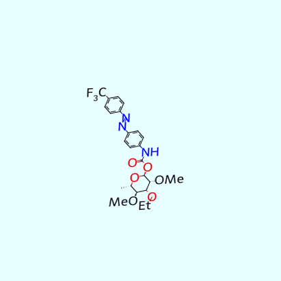 CCO[C@@H]1[C@@H](OC)[C@H](C)O[C@@H](OC(=O)Nc2ccc(/N=N/c3ccc(C(F)(F)F)cc3)cc2)[C@@H]1OC